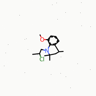 COc1cccc2c1N(CC(C)Cl)C(C)(C)CC2C